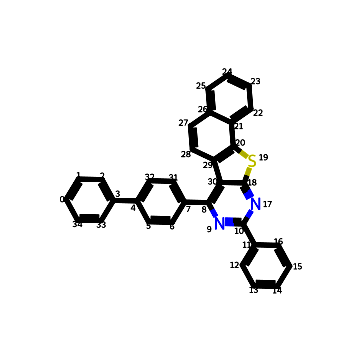 c1ccc(-c2ccc(-c3nc(-c4ccccc4)nc4sc5c6ccccc6ccc5c34)cc2)cc1